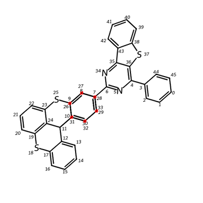 c1ccc(-c2nc(-c3ccc(C45c6ccccc6Sc6cccc(c64)Sc4ccccc45)cc3)nc3c2sc2ccccc23)cc1